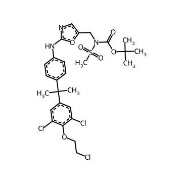 CC(C)(C)OC(=O)N(Cc1cnc(Nc2ccc(C(C)(C)c3cc(Cl)c(OCCCl)c(Cl)c3)cc2)o1)S(C)(=O)=O